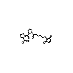 O=C(O)C1CCCN1C(=O)C1CCCN1C(=O)CCCCCN1C(=O)C=CC1=O